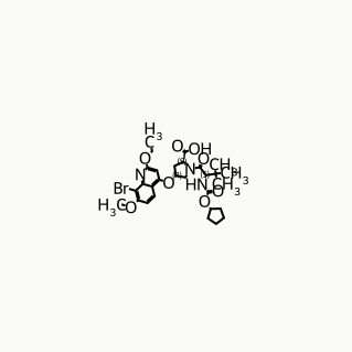 CCOc1cc(O[C@@H]2C[C@@H](C(=O)O)N(C(=O)[C@@H](NC(=O)OC3CCCC3)C(C)(C)C)C2)c2ccc(OC)c(Br)c2n1